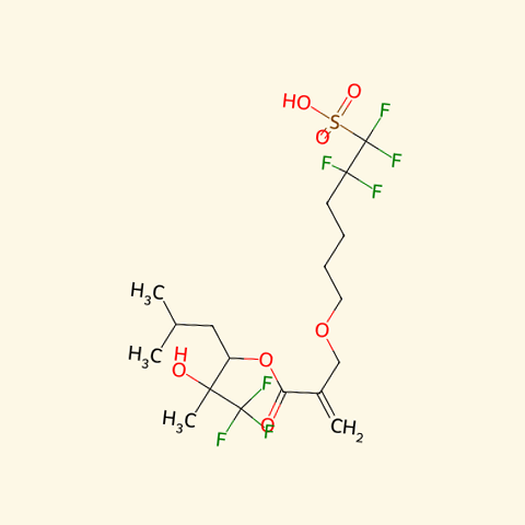 C=C(COCCCCC(F)(F)C(F)(F)S(=O)(=O)O)C(=O)OC(CC(C)C)C(C)(O)C(F)(F)F